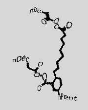 CCCCCCCCCCCC(=O)OOC(=O)CCCCCCCCC1C=CC(CCCCC)CC1C(=O)OOC(=O)CCCCCCCCCCC